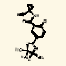 CC1(C)OB(c2ccc(Cl)c(C(=O)NC3(C#N)CC3)c2)OC1(C)C